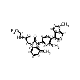 Cc1nc(-n2c(=O)n(CC(=O)NCC(F)(F)F)c3cccc(C)c32)cnc1-c1cncc2c1cnn2C